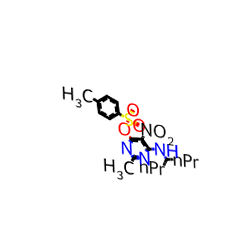 CCCC(CCC)Nc1nc(C)nc(OS(=O)(=O)c2ccc(C)cc2)c1[N+](=O)[O-]